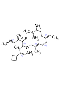 C=C(/C(F)=C(\C/C(=C\C)C1CCC1)OC/C(C)=C/C=C\C(=C/C)CCC(N)N(C)N)/C(C)=N/C